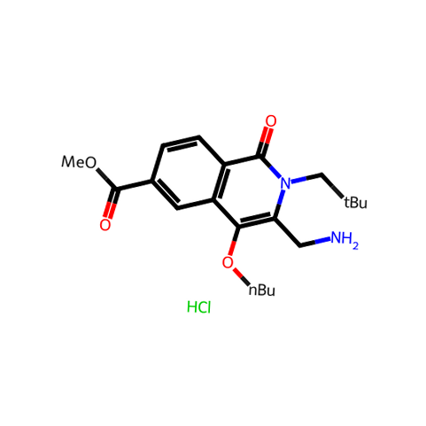 CCCCOc1c(CN)n(CC(C)(C)C)c(=O)c2ccc(C(=O)OC)cc12.Cl